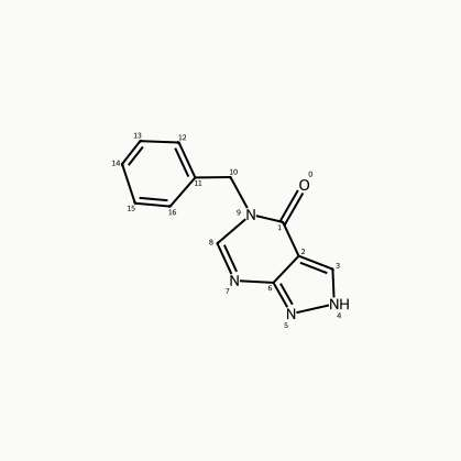 O=c1c2c[nH]nc2ncn1Cc1ccccc1